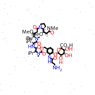 CC[C@@H](C)[C@@H]([C@@H](CC(=O)N1CCC[C@H]1[C@H](OC)[C@@H](C)C(=O)NC)OC)N(C)C(=O)[C@@H](NC(=O)[C@H](C(C)C)N(C)C(=O)OCc1ccc(O[C@@H]2O[C@H](C(=O)O)[C@@H](O)[C@H](O)[C@H]2O)c(NC(=O)CCN)c1)C(C)C